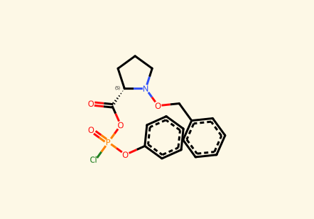 O=C(OP(=O)(Cl)Oc1ccccc1)[C@@H]1CCCN1OCc1ccccc1